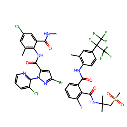 CNC(=O)c1cc(Cl)cc(C)c1NC(=O)c1cc(Br)nn1-c1ncccc1Cl.Cc1cc(C(F)(C(F)(F)F)C(F)(F)F)ccc1NC(=O)c1cccc(I)c1C(=O)NC(C)(C)CS(C)(=O)=O